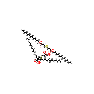 CCCCCCCCCCCCCC(CCCCCCCCCCCCC)(CSCCC(=O)O)C(=O)O.CCCCCCCCCCCCCOC(=O)CCSCCC(=O)OCCCCCCCCCCCCC